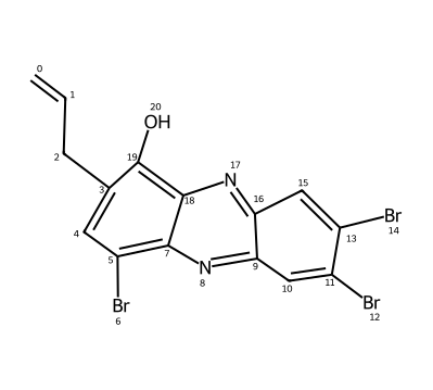 C=CCc1cc(Br)c2nc3cc(Br)c(Br)cc3nc2c1O